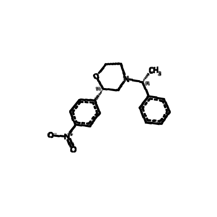 C[C@H](c1ccccc1)N1CCO[C@@H](c2ccc([N+](=O)[O-])cc2)C1